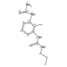 CCCNC(=O)Nc1cccc(NC(N)=O)c1C